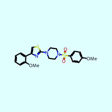 COc1ccc(S(=O)(=O)N2CCN(c3nc(-c4ccccc4OC)cs3)CC2)cc1